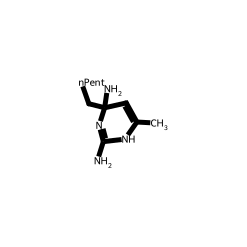 CCCCCCC1(N)C=C(C)NC(N)=N1